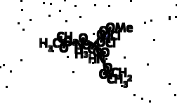 C=C(C)C(=O)OCCNC(=O)OCC(C)(COC(=O)NCCOC(=O)C(=C)C)COC(=O)/C(Cl)=C(/Cl)C(=O)OC